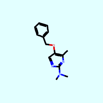 Cc1nc(N(C)C)ncc1OCc1ccccc1